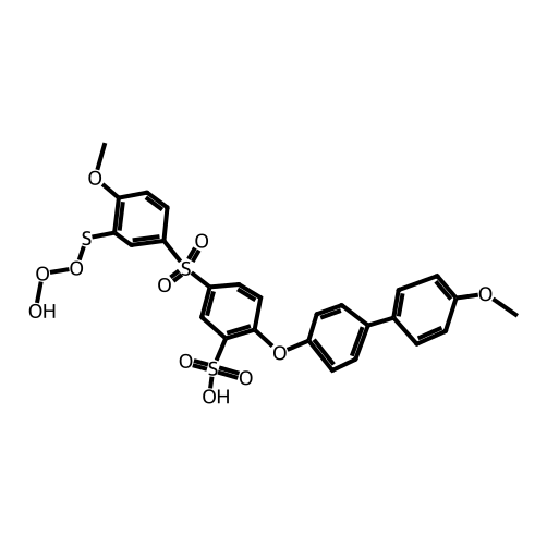 COc1ccc(-c2ccc(Oc3ccc(S(=O)(=O)c4ccc(OC)c(SOOO)c4)cc3S(=O)(=O)O)cc2)cc1